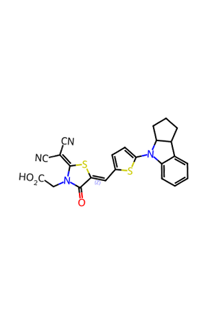 N#CC(C#N)=c1s/c(=C\c2ccc(N3c4ccccc4C4CCCC43)s2)c(=O)n1CC(=O)O